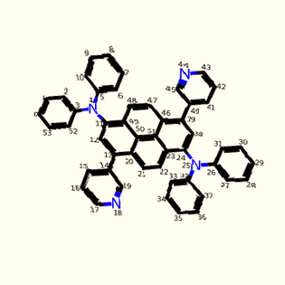 c1ccc(N(c2ccccc2)c2cc(-c3cccnc3)c3ccc4c(N(c5ccccc5)c5ccccc5)cc(-c5cccnc5)c5ccc2c3c54)cc1